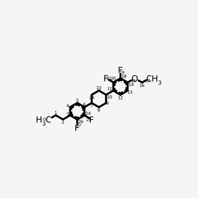 CCCc1ccc(C2CCC(c3ccc(OCC)c(F)c3F)CC2)c(F)c1F